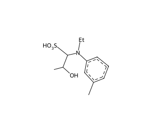 CCN(c1cccc(C)c1)C(C(C)O)S(=O)(=O)O